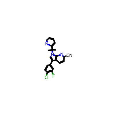 CC(C)(c1ccccn1)n1cc(-c2ccc(Cl)c(F)c2)c2ccc(C#N)nc21